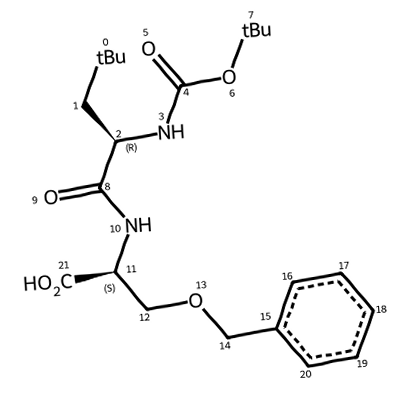 CC(C)(C)C[C@@H](NC(=O)OC(C)(C)C)C(=O)N[C@@H](COCc1ccccc1)C(=O)O